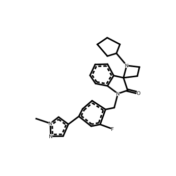 Cn1cc(-c2ccc(CN3C(=O)C4(CCN4C4CCCC4)c4ccccc43)c(F)c2)cn1